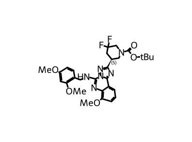 COc1ccc(CNc2nc3c(OC)cccc3c3nc([C@@H]4CN(C(=O)OC(C)(C)C)CC(F)(F)C4)nn23)c(OC)c1